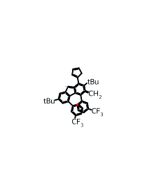 C=c1c(-c2cccc(C(F)(F)F)c2)c2c(c(C3=CC=CC3)c1C(C)(C)C)=[C]c1cc(C(C)(C)C)cc(-c3cccc(C(F)(F)F)c3)c1-2